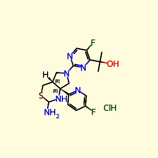 CC(C)(O)c1nc(N2C[C@H]3CSC(N)N[C@@]3(c3ccc(F)cn3)C2)ncc1F.Cl